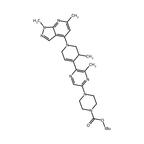 Cc1cc(N2CC=C(c3ncc(N4CCN(C(=O)OC(C)(C)C)CC4)nc3C)C(C)C2)c2cnn(C)c2n1